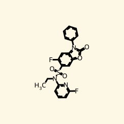 CCN(c1cccc(F)n1)S(=O)(=O)c1cc2oc(=O)n(-c3ccccc3)c2cc1F